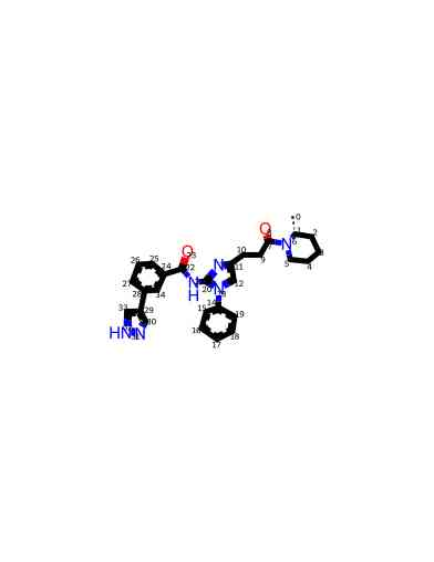 C[C@@H]1CCCCN1C(=O)CCc1cn(-c2ccccc2)c(NC(=O)c2cccc(-c3cn[nH]c3)c2)n1